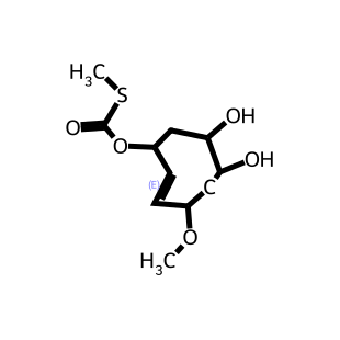 COC1/C=C/C(OC(=O)SC)CC(O)C(O)C1